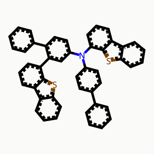 c1ccc(-c2ccc(N(c3ccc(-c4ccccc4)c(-c4cccc5c4sc4ccccc45)c3)c3cccc4c3sc3ccccc34)cc2)cc1